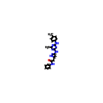 Cc1ccc(Nc2nc(C)nc(Nc3cc(CC(=O)Nc4ccccc4)[nH]n3)n2)cc1